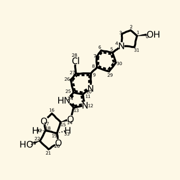 O[C@@H]1CCN(c2ccc(-c3nc4nc(O[C@@H]5CO[C@H]6[C@@H]5OC[C@H]6O)[nH]c4cc3Cl)cc2)C1